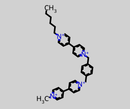 CCCCCC[n+]1ccc(-c2cc[n+](Cc3ccc(C[n+]4ccc(-c5cc[n+](C)cc5)cc4)cc3)cc2)cc1